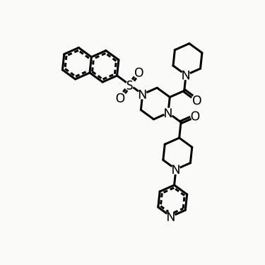 O=C(C1CN(S(=O)(=O)c2ccc3ccccc3c2)CCN1C(=O)C1CCN(c2ccncc2)CC1)N1CCCCC1